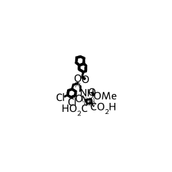 COC(=O)[C@@H]1[C@@H](C(=O)O)[C@@H](C(=O)O)[C@@H]1C(=O)NCC[C@@H](Cc1ccc(Cl)c(Cl)c1)OC(=O)c1ccc2ccccc2c1